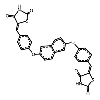 O=C1NC(=O)C(=Cc2ccc(Oc3ccc4cc(Oc5ccc(C=C6SC(=O)NC6=O)cc5)ccc4c3)cc2)S1